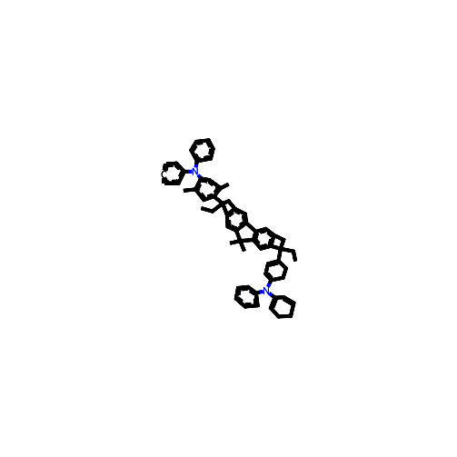 CCC1(C2=CC=C(N(C3=CCCC=C3)c3ccccc3)CC2)Cc2cc3c(cc21)C(C)(C)c1cc2c(cc1-3)CC2(CC)c1cc(C)c(N(c2ccccc2)c2ccccc2)cc1C